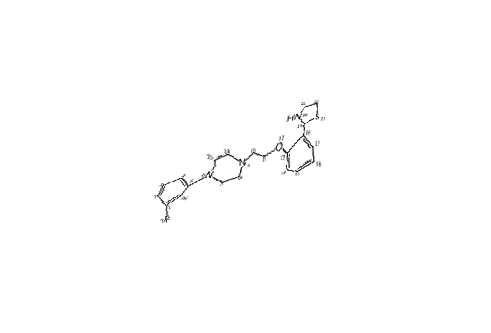 Fc1cccc(N2CCN(CCOc3ccccc3C3NCCS3)CC2)c1